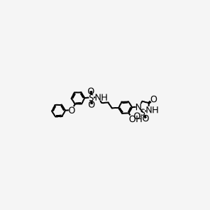 O=C1CN(c2ccc(CCCNS(=O)(=O)c3cccc(Oc4ccccc4)c3)cc2O)S(=O)(=O)N1